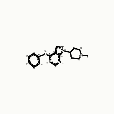 CN1CCC(n2ncc3c(Oc4ccccc4)ncnc32)CC1